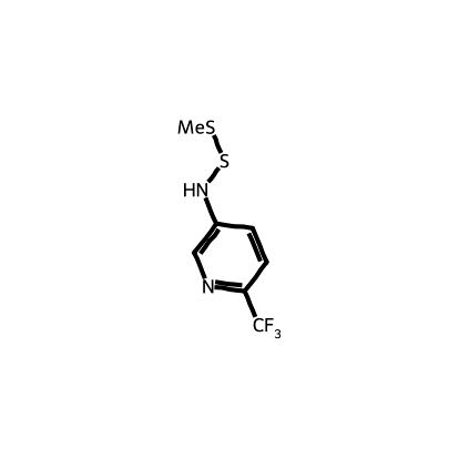 CSSNc1ccc(C(F)(F)F)nc1